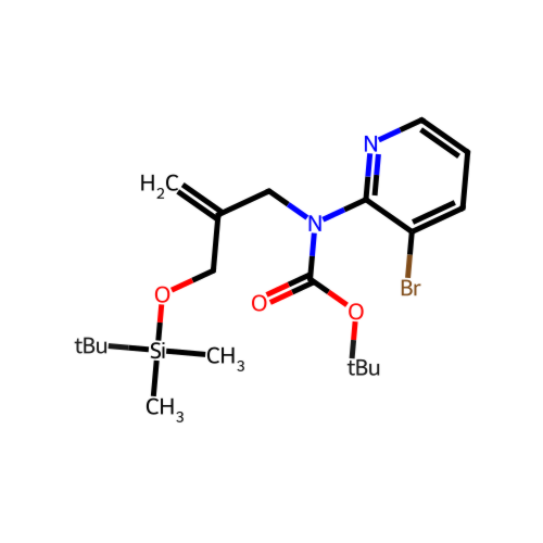 C=C(CO[Si](C)(C)C(C)(C)C)CN(C(=O)OC(C)(C)C)c1ncccc1Br